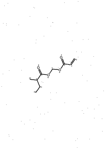 C=CC(=O)OCOC(=O)C(C)CC